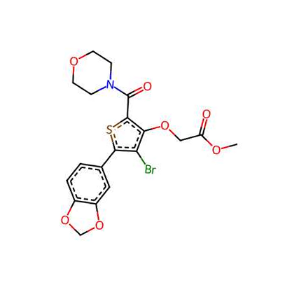 COC(=O)COc1c(C(=O)N2CCOCC2)sc(-c2ccc3c(c2)OCO3)c1Br